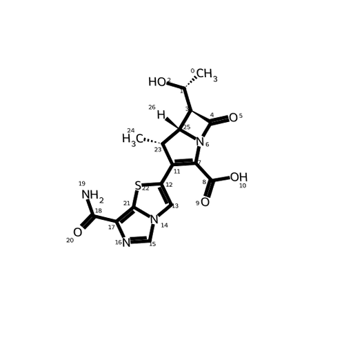 C[C@@H](O)[C@H]1C(=O)N2C(C(=O)O)=C(c3cn4cnc(C(N)=O)c4s3)[C@H](C)[C@H]12